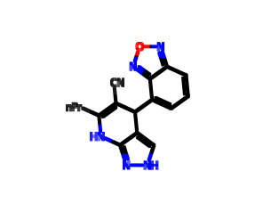 CCCC1=C(C#N)C(c2cccc3nonc23)c2c[nH]nc2N1